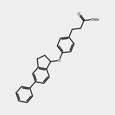 COC(=O)CCc1ccc(OC2CCc3cc(-c4ccccc4)ccc32)cc1